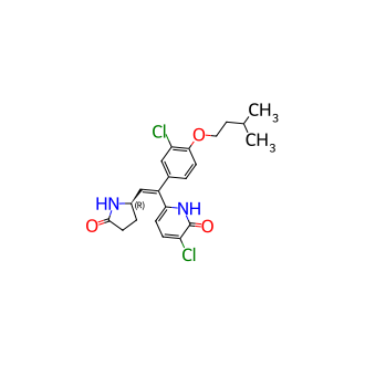 CC(C)CCOc1ccc(C(=C[C@H]2CCC(=O)N2)c2ccc(Cl)c(=O)[nH]2)cc1Cl